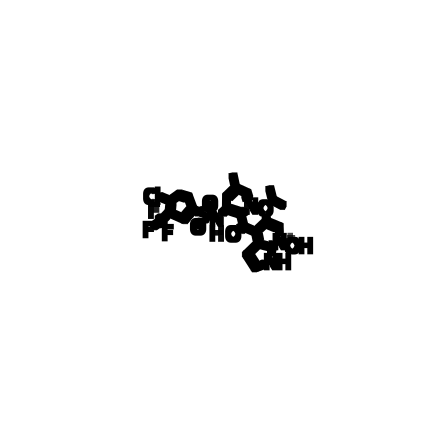 Cc1cnc(C(=O)c2c(OC(C)C)c[n+](O)c3[nH]ccc23)c(NS(=O)(=O)c2ccc(Cl)c(C(F)(F)F)c2)c1